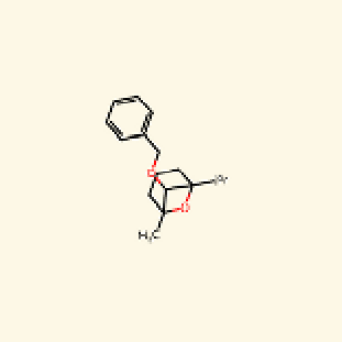 CC(C)C12CCCC(C)(O1)C2OCc1ccccc1